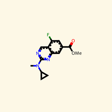 COC(=O)c1cc(F)c2cnc(N(C)C3CC3)nc2c1